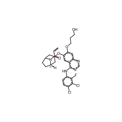 C=CC(=O)N1C2CC[C@H]1CC(Oc1cc3c(Nc4ccc(Cl)c(Cl)c4F)ncnc3cc1OCCCO)C2